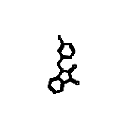 O=C1C(=O)N(Cc2cccc(F)c2)c2ccccc21